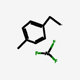 [CH2]Cc1ccc(C)cc1.[F][Al]([F])[F]